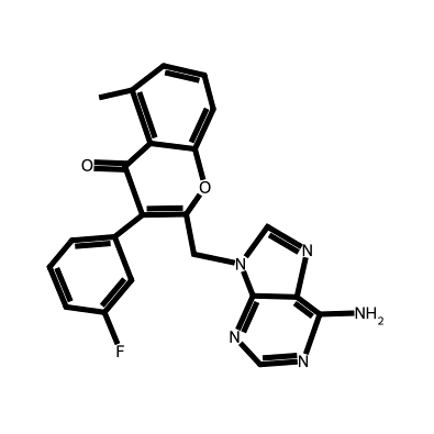 Cc1cccc2oc(Cn3cnc4c(N)ncnc43)c(-c3cccc(F)c3)c(=O)c12